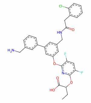 CCC(Oc1nc(Oc2cc(CNC(=O)Cc3ccccc3Cl)cc(-c3cccc(CN)c3)c2)c(F)cc1F)C(=O)O